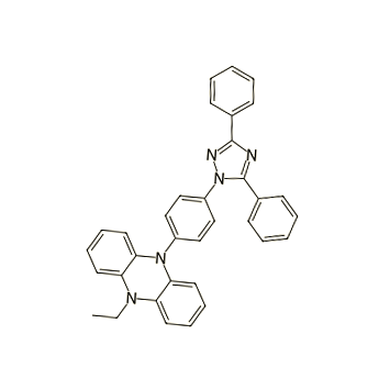 CCN1c2ccccc2N(c2ccc(-n3nc(-c4ccccc4)nc3-c3ccccc3)cc2)c2ccccc21